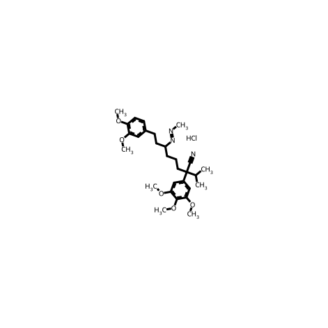 CN=NC(CCCC(C#N)(c1cc(OC)c(OC)c(OC)c1)C(C)C)CCc1ccc(OC)c(OC)c1.Cl